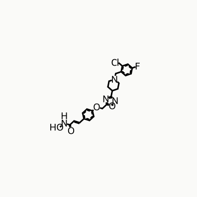 O=C(C=Cc1ccc(OCc2nc(C3CCN(Cc4ccc(F)cc4Cl)CC3)no2)cc1)NO